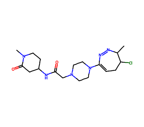 CC1N=NC(N2CCN(CC(=O)NC3CCN(C)C(=O)C3)CC2)=CCC1Cl